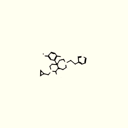 COc1ccc(C)c(C23CCN(CCc4cccnc4)CCC2(O)C(C)N(CC2CC2)CC3)c1